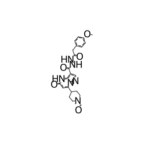 COc1ccc(CC(=O)NNC(=O)c2cnn3c(C4CCN(C=O)CC4)cc(=O)[nH]c23)cc1